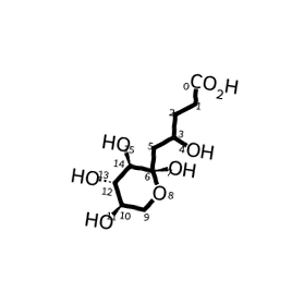 O=C(O)CCC(O)C[C@]1(O)OC[C@@H](O)[C@H](O)[C@H]1O